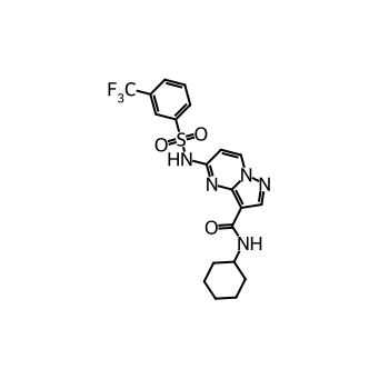 O=C(NC1CCCCC1)c1cnn2ccc(NS(=O)(=O)c3cccc(C(F)(F)F)c3)nc12